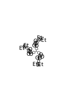 C=C[Si](CC)(CC)c1ccc(C(=O)OOC(=O)OC2CCC(C(C3CCC(OC(=O)OOC(=O)c4ccc([Si](C=C)(CC)CC)cc4)CC3)C3CCC(OC(=O)OOC(=O)c4ccc([Si](C=C)(CC)CC)cc4)CC3)CC2)cc1